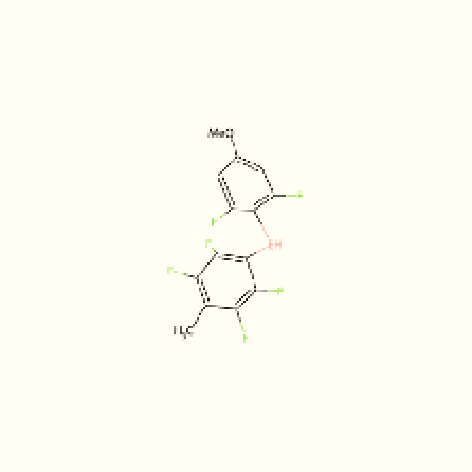 COc1cc(F)c(Bc2c(F)c(F)c(C)c(F)c2F)c(F)c1